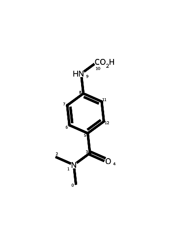 CN(C)C(=O)c1ccc(NC(=O)O)cc1